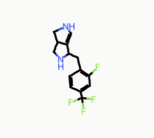 Fc1cc(C(F)(F)F)ccc1CC1NCC2CNC=C21